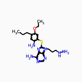 CCCc1cc(N)c(Sc2nc3c(N)ncnc3n2CCCNN)cc1OCC